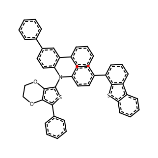 c1ccc(-c2ccc(N(c3ccc(-c4cccc5c4sc4ccccc45)cc3)c3sc(-c4ccccc4)c4c3OCCO4)c(-c3ccccc3)c2)cc1